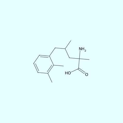 Cc1cccc(CC(C)CC(C)(N)C(=O)O)c1C